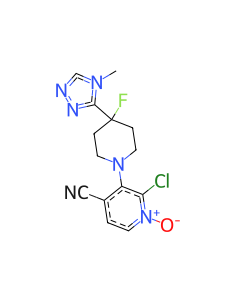 Cn1cnnc1C1(F)CCN(c2c(C#N)cc[n+]([O-])c2Cl)CC1